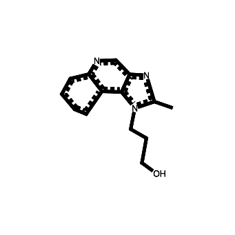 Cc1nc2cnc3ccccc3c2n1CCCO